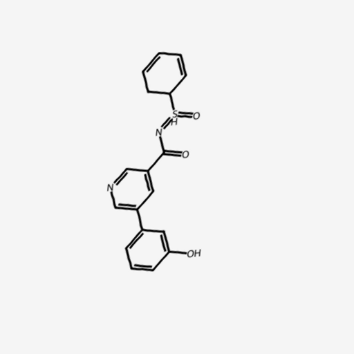 O=C(N=[SH](=O)C1C=CC=CC1)c1cncc(-c2cccc(O)c2)c1